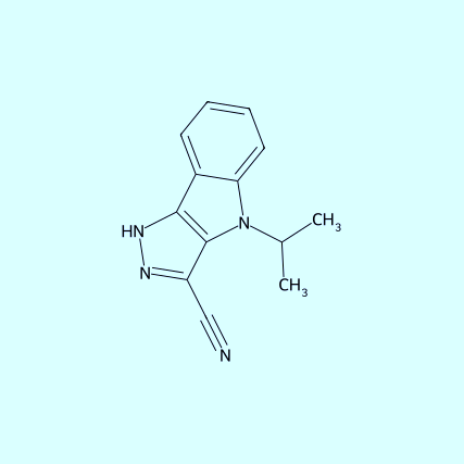 CC(C)n1c2ccccc2c2[nH]nc(C#N)c21